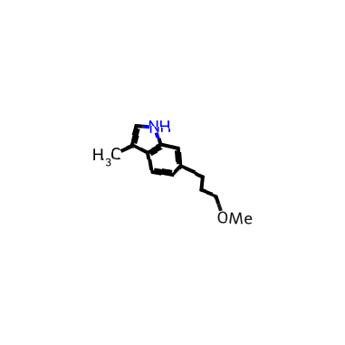 COCCCc1ccc2c(C)c[nH]c2c1